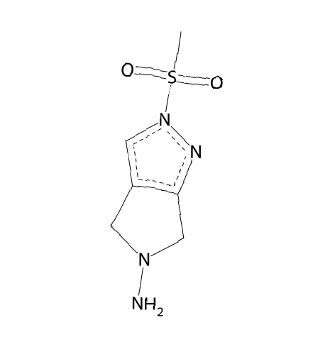 CS(=O)(=O)n1cc2c(n1)CN(N)C2